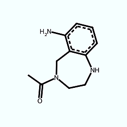 CC(=O)N1CCNc2cccc(N)c2C1